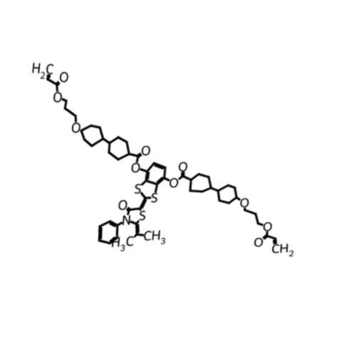 C=CC(=O)OCCCOC1CCC(C2CCC(C(=O)Oc3ccc(OC(=O)C4CCC(C5CCC(OCCCOC(=O)C=C)CC5)CC4)c4c3SC(=c3sc(=C(C)C)n(-c5ccccc5)c3=O)S4)CC2)CC1